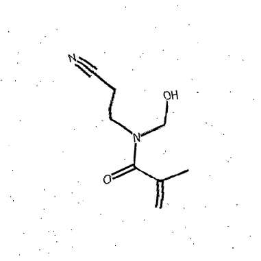 C=C(C)C(=O)N(CO)CCC#N